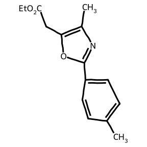 CCOC(=O)Cc1oc(-c2ccc(C)cc2)nc1C